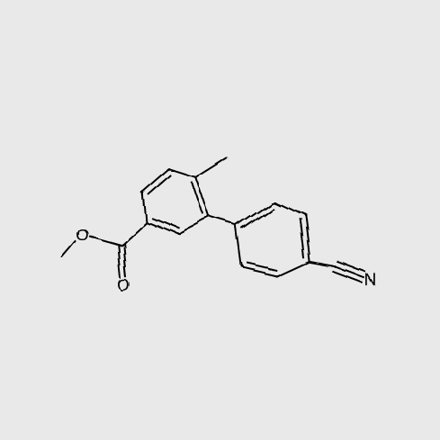 COC(=O)c1ccc(C)c(-c2ccc(C#N)cc2)c1